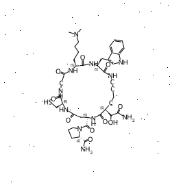 CN(C)CCCC[C@@H]1NC(=O)CNC(=O)[C@H](CS)NC(=O)C[C@@H](C(=O)N2CCC[C@H]2C(N)=O)NC(=O)[C@H](C(O)C(N)=O)CCCCNC(=O)[C@H](Cc2c[nH]c3ccccc23)NC1=O